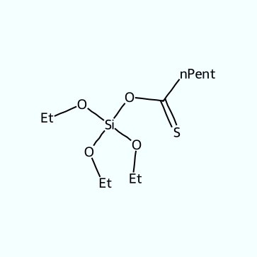 CCCCCC(=S)O[Si](OCC)(OCC)OCC